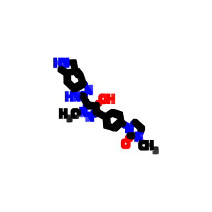 CN1CCN(c2ccc(-c3nn(C)c(-c4nc5cc6c(cc5[nH]4)CNC6)c3O)cc2)C1=O